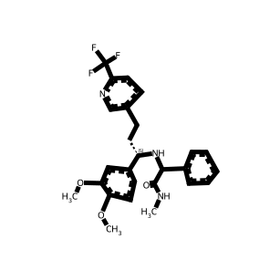 CNC(=O)C(N[C@@H](CCc1ccc(C(F)(F)F)nc1)c1ccc(OC)c(OC)c1)c1ccccc1